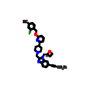 CCOC(=O)C#Cc1ccc2nc(CN3CCC(c4cccc(OCc5ccc(C#N)cc5F)n4)CC3)n(C[C@@H]3CCO3)c2c1